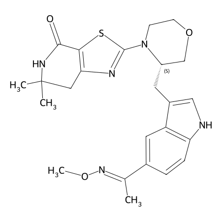 CON=C(C)c1ccc2[nH]cc(C[C@H]3COCCN3c3nc4c(s3)C(=O)NC(C)(C)C4)c2c1